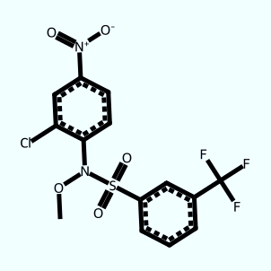 CON(c1ccc([N+](=O)[O-])cc1Cl)S(=O)(=O)c1cccc(C(F)(F)F)c1